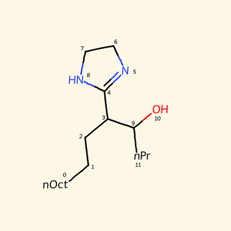 CCCCCCCCCCC(C1=NCCN1)C(O)CCC